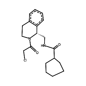 O=C(NC[C@H]1c2ccccc2CCN1C(=O)CCl)C1CCCCC1